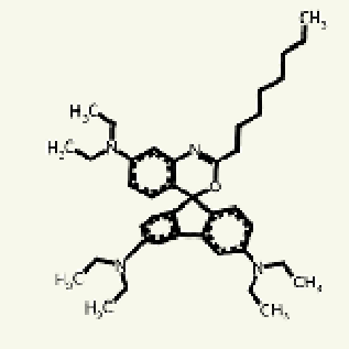 CCCCCCCCC1=Nc2cc(N(CC)CC)ccc2C2(O1)c1ccc(N(CC)CC)cc1-c1cc(N(CC)CC)ccc12